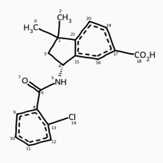 CC1(C)C[C@@H](NC(=O)c2ccccc2Cl)c2cc(C(=O)O)ccc21